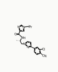 CC(C)n1cnc(C(=O)N[C@@H](C)Cn2ccc(-c3ccc(C#N)c(Cl)c3)n2)c1